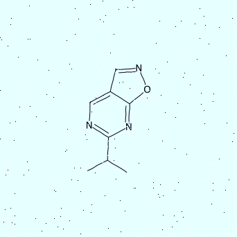 CC(C)c1ncc2cnoc2n1